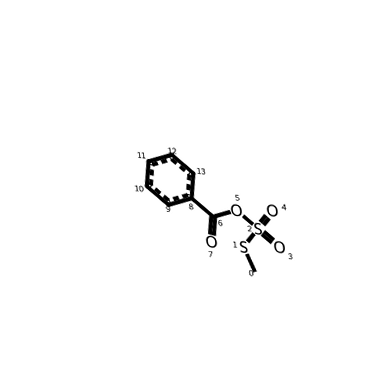 CSS(=O)(=O)OC(=O)c1ccccc1